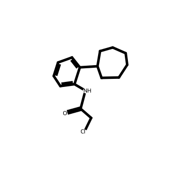 O=C(CCl)Nc1ccccc1C1CCCCCC1